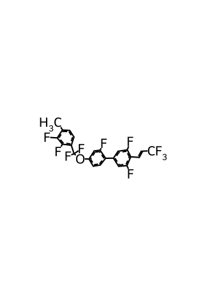 Cc1ccc(C(F)(F)Oc2ccc(-c3cc(F)c(/C=C/C(F)(F)F)c(F)c3)c(F)c2)c(F)c1F